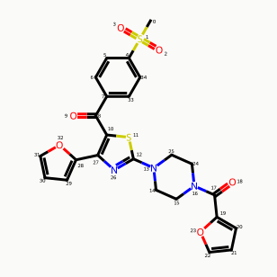 CS(=O)(=O)c1ccc(C(=O)c2sc(N3CCN(C(=O)c4ccco4)CC3)nc2-c2ccco2)cc1